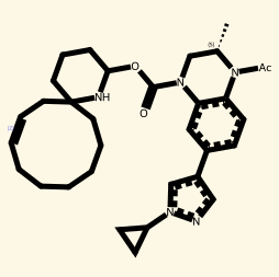 CC(=O)N1c2ccc(-c3cnn(C4CC4)c3)cc2N(C(=O)OC2CCCC3(C/C=C\CCCCCC3)N2)C[C@@H]1C